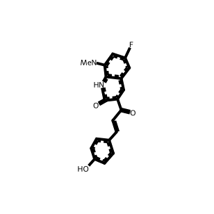 CNc1cc(F)cc2cc(C(=O)C=Cc3ccc(O)cc3)c(=O)[nH]c12